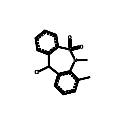 Cc1cccc2c1N(C)S(=O)(=O)c1ccccc1C2Cl